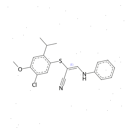 COc1cc(C(C)C)c(S/C(C#N)=C/Nc2ccccc2)cc1Cl